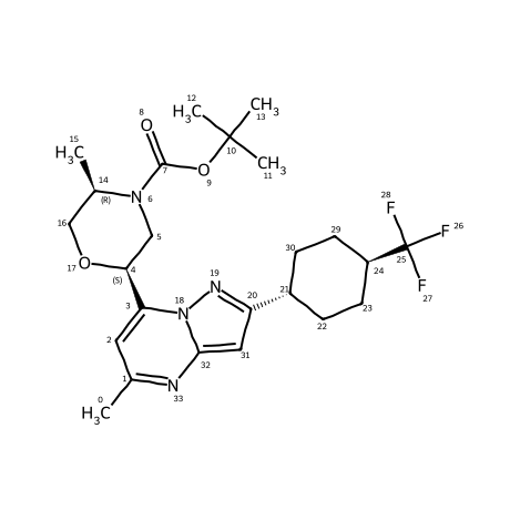 Cc1cc([C@@H]2CN(C(=O)OC(C)(C)C)[C@H](C)CO2)n2nc([C@H]3CC[C@H](C(F)(F)F)CC3)cc2n1